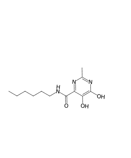 CCCCCCNC(=O)c1nc(C)nc(O)c1O